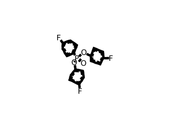 O=P(Oc1ccc(F)cc1)(Oc1ccc(F)cc1)c1ccc(F)cc1